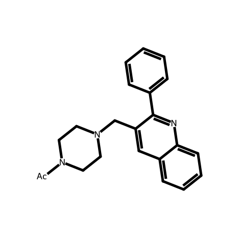 CC(=O)N1CCN(Cc2cc3ccccc3nc2-c2ccccc2)CC1